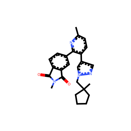 Cc1ccc(-c2cnn(CC3(C)CCCC3)c2)c(-c2ccc3c(c2)C(=O)N(C)C3=O)n1